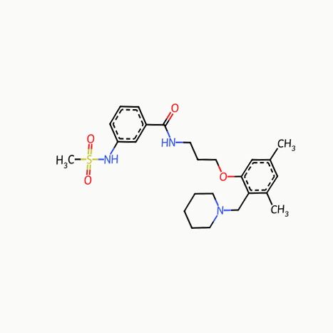 Cc1cc(C)c(CN2CCCCC2)c(OCCCNC(=O)c2cccc(NS(C)(=O)=O)c2)c1